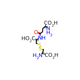 N[C@@H](CCC(=O)N[C@@H](CSSC[C@H](N)C(=O)O)C(=O)O)C(=O)O